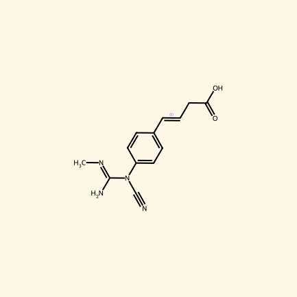 CN=C(N)N(C#N)c1ccc(/C=C/CC(=O)O)cc1